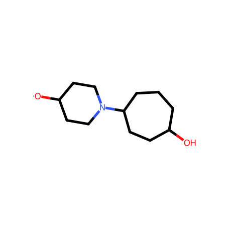 [O]C1CCN(C2CCCC(O)CC2)CC1